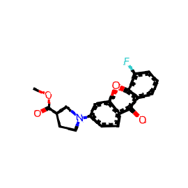 COC(=O)C1CCN(c2ccc3c(=O)c4cccc(F)c4oc3c2)C1